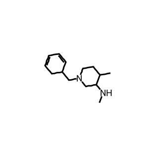 CNC1CN(CC2C=CC=CC2)CCC1C